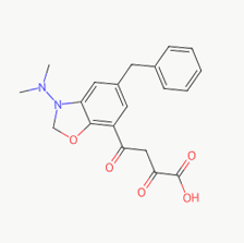 CN(C)N1COc2c(C(=O)CC(=O)C(=O)O)cc(Cc3ccccc3)cc21